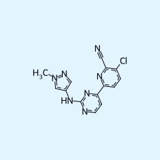 Cn1cc(Nc2nccc(-c3ccc(Cl)c(C#N)n3)n2)cn1